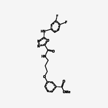 COC(=O)c1cccc(OCCCNC(=O)c2nnc(Nc3ccc(F)c(F)c3)o2)c1